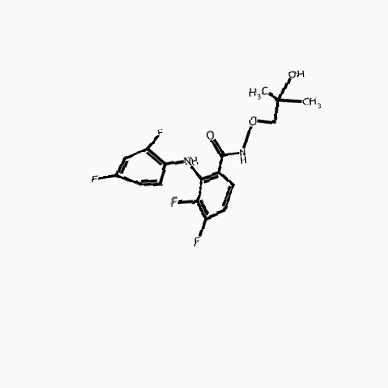 CC(C)(O)CONC(=O)c1ccc(F)c(F)c1Nc1ccc(F)cc1F